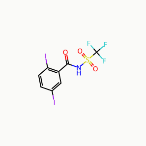 O=C(NS(=O)(=O)C(F)(F)F)c1cc(I)ccc1I